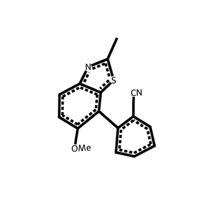 COc1ccc2nc(C)sc2c1-c1ccccc1C#N